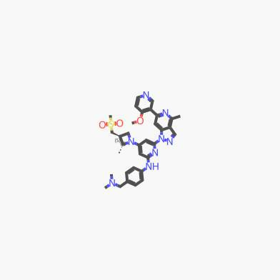 COc1ccncc1-c1cc2c(cnn2-c2cc(N3C[C@H](CS(C)(=O)=O)[C@H]3C)cc(Nc3ccc(CN(C)C)cc3)n2)c(C)n1